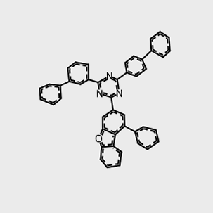 c1ccc(-c2ccc(-c3nc(-c4cccc(-c5ccccc5)c4)nc(-c4cc(-c5ccccc5)c5c(c4)oc4ccccc45)n3)cc2)cc1